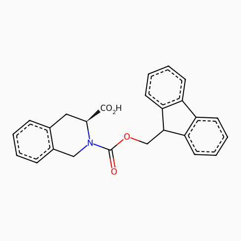 O=C(O)[C@@H]1Cc2ccccc2CN1C(=O)OCC1c2ccccc2-c2ccccc21